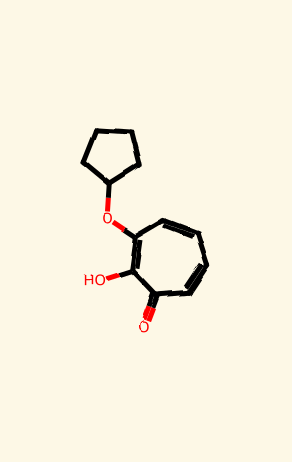 O=c1ccccc(OC2CCCC2)c1O